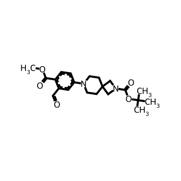 COC(=O)c1ccc(N2CCC3(CC2)CN(C(=O)OC(C)(C)C)C3)cc1C=O